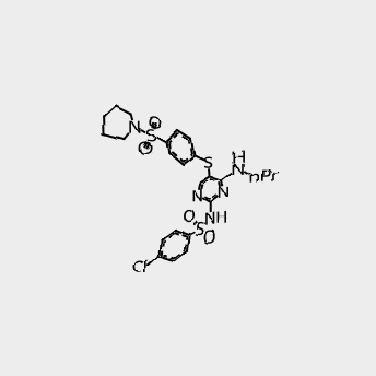 CCCNc1nc(NS(=O)(=O)c2ccc(Cl)cc2)ncc1Sc1ccc(S(=O)(=O)N2CCCCC2)cc1